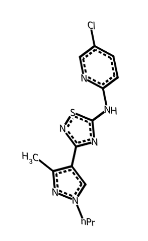 CCCn1cc(-c2nsc(Nc3ccc(Cl)cn3)n2)c(C)n1